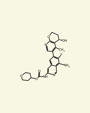 Cc1c(-c2cc3cc(NC(=O)OC4CCOCC4)ncc3c(N)c2F)cnc2c1[C@H](O)CCO2